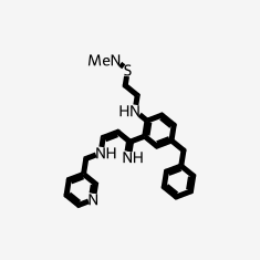 CNSCCNc1ccc(Cc2ccccc2)cc1C(=N)/C=C\NCc1cccnc1